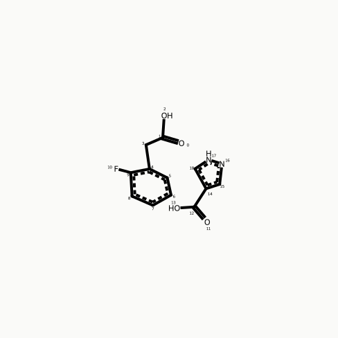 O=C(O)Cc1ccccc1F.O=C(O)c1cn[nH]c1